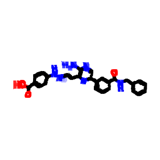 Nc1ncc(-c2cccc(C(=O)NCc3ccccc3)c2)nc1C/C=N/Nc1ccc(C(=O)O)cc1